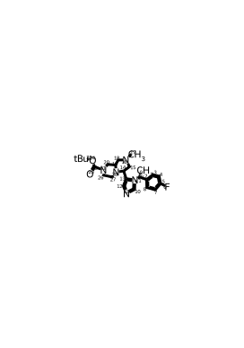 C[C@H](c1ccc(F)cc1)n1cncc1C1CN(C)CC2CN(C(=O)OC(C)(C)C)CCN21